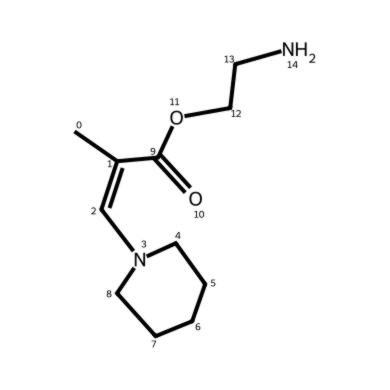 CC(=CN1CCCCC1)C(=O)OCCN